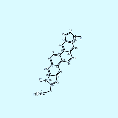 CCCCCCCCCCCc1cc2cc3c(ccc4c5cc6ccn(C)c6cc5ccc34)cc2n1C